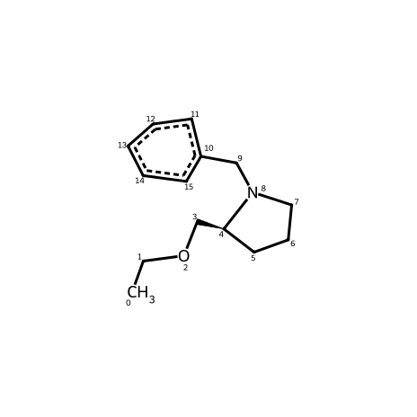 CCOC[C@@H]1CCCN1Cc1ccccc1